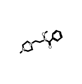 CON(CCN1CCN(C)CC1)C(=O)c1ccccc1